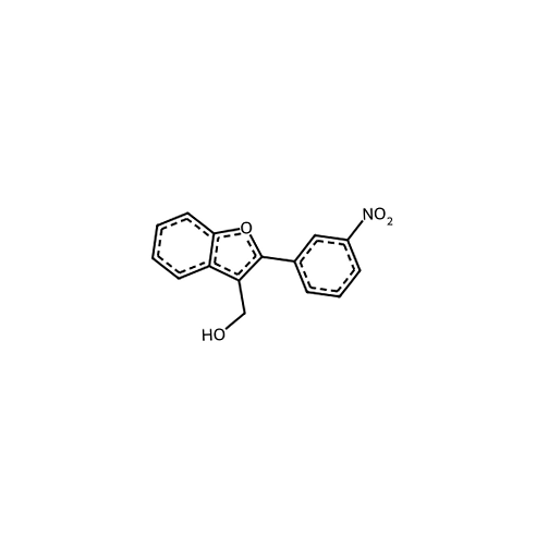 O=[N+]([O-])c1cccc(-c2oc3ccccc3c2CO)c1